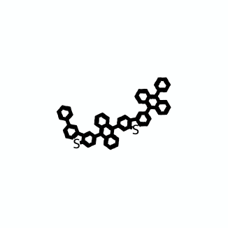 c1ccc(-c2ccc3sc4ccc(-c5c6ccccc6c(-c6ccc7c(c6)sc6ccc(-c8c9ccccc9c(-c9ccccc9)c9ccccc89)cc67)c6ccccc56)cc4c3c2)cc1